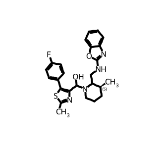 Cc1nc(C(O)N2CCC[C@H](C)C2CNc2nc3ccccc3o2)c(-c2ccc(F)cc2)s1